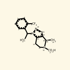 CC(c1ccccc1C(F)(F)F)n1nnc2c1CCN(C(=O)O)[C@@H]2C